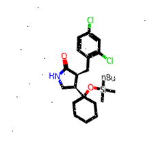 CCCC[Si](C)(C)OC1([C@H]2CNC(=O)[C@H]2Cc2ccc(Cl)cc2Cl)CCCCC1